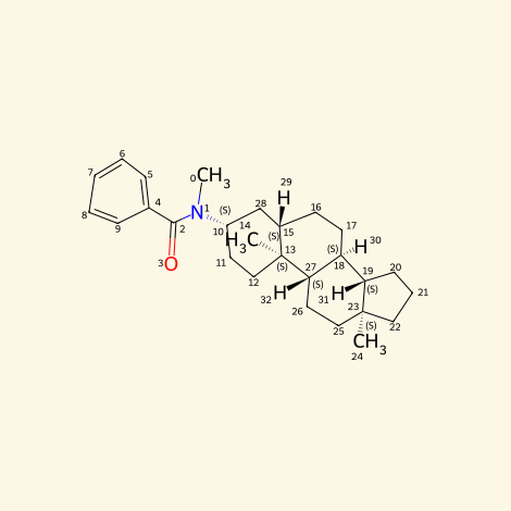 CN(C(=O)c1ccccc1)[C@H]1CC[C@@]2(C)[C@@H](CC[C@H]3[C@@H]4CCC[C@@]4(C)CC[C@@H]32)C1